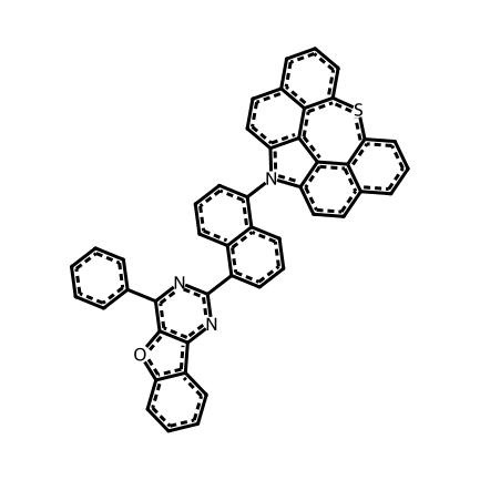 c1ccc(-c2nc(-c3cccc4c(-n5c6ccc7cccc8sc9cccc%10ccc5c(c%109)c6c78)cccc34)nc3c2oc2ccccc23)cc1